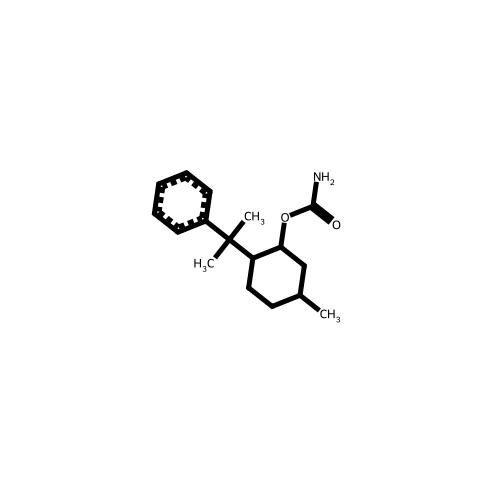 CC1CCC(C(C)(C)c2ccccc2)C(OC(N)=O)C1